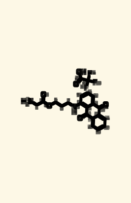 NCC(=O)OCCCNc1cccc2c1C(=O)c1ccccc1C2=O.O=C(O)C(F)(F)F